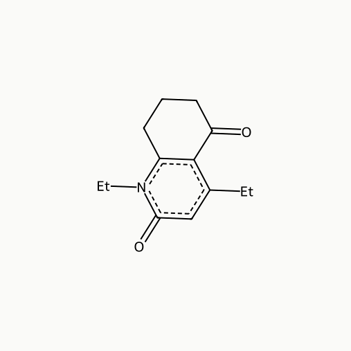 CCc1cc(=O)n(CC)c2c1C(=O)CCC2